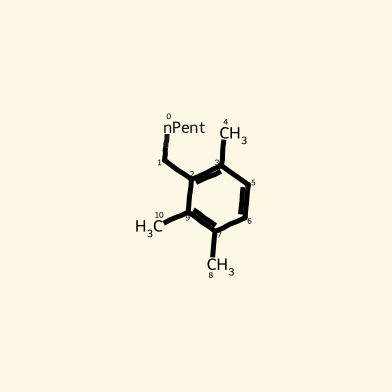 [CH2]CCCCCc1c(C)ccc(C)c1C